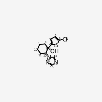 O[C@]1(c2ccc(Cl)s2)CCCC[C@@H]1n1cncn1